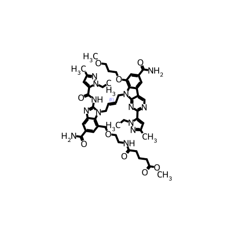 CCn1nc(C)cc1C(=O)Nc1nc2cc(C(N)=O)cc(COCCNC(=O)CCCC(=O)OC)c2n1C/C=C/Cn1c2nc(-c3cc(C)nn3CC)ncc2c2cc(C(N)=O)cc(OCCCOC)c21